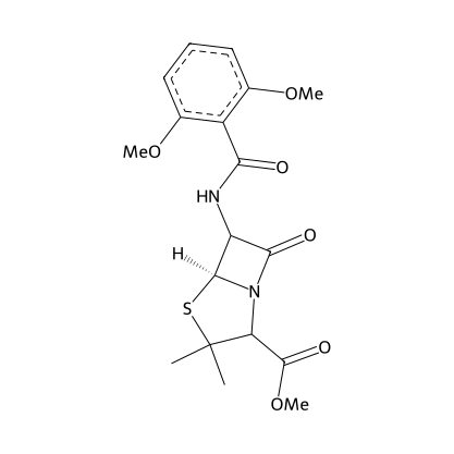 COC(=O)C1N2C(=O)C(NC(=O)c3c(OC)cccc3OC)[C@@H]2SC1(C)C